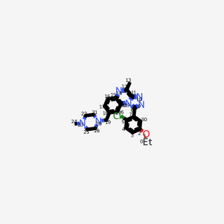 CCOc1ccc(Cl)c(-c2nnc3c(C)nc4ccc(CN5CCN(C)CC5)cc4n23)c1